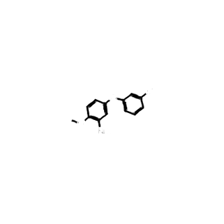 COc1ccc(Oc2cccc(Cl)c2)cc1N